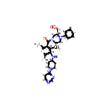 Cc1cc(C)c(C(=O)N2CCN(c3ccccc3)[C@H](CO)C2)c(C)c1NC1CCN(c2ccncn2)CC1